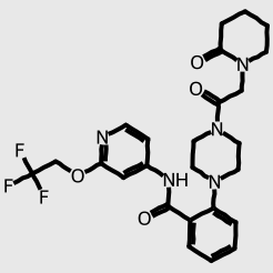 O=C(Nc1ccnc(OCC(F)(F)F)c1)c1ccccc1N1CCN(C(=O)CN2CCCCC2=O)CC1